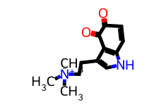 C[N+](C)(C)CCc1c[nH]c2c1C(=O)C(=O)C=C2